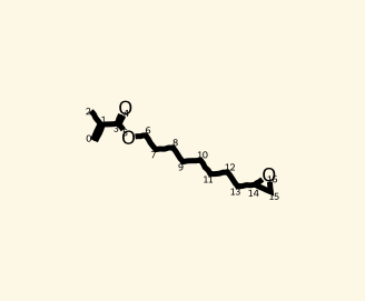 C=C(C)C(=O)OCCCCCCCCC1CO1